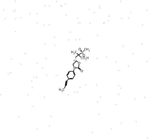 CC#Cc1ccc(N2C[C@H](CC(C)(C(=O)O)S(C)(=O)=O)OC2=O)cc1